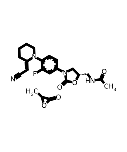 CC(=O)NC[C@H]1CN(c2ccc(N3CCCCC3=CC#N)c(F)c2)C(=O)O1.CC1OC1=O